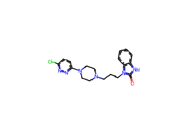 O=c1[nH]c2ccccc2n1CCCN1CCN(c2ccc(Cl)nn2)CC1